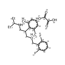 CCC(CC)NCC(COCc1c(F)cccc1F)c1c(C)cccc1C.O=C(O)C(=O)O